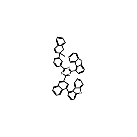 CC1(c2cccc(-c3nc(-c4cc(-c5cccc6oc7ccccc7c56)c5ccccc5c4)nc(-c4cccc5oc6ccccc6c45)n3)c2)C=Cc2ccccc2C1